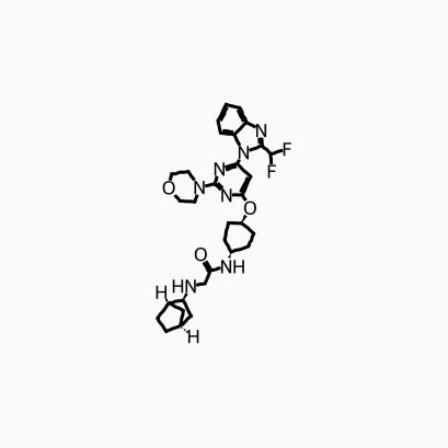 O=C(CN[C@H]1C[C@H]2CC[C@@H]1C2)N[C@H]1CC[C@H](Oc2cc(-n3c(C(F)F)nc4ccccc43)nc(N3CCOCC3)n2)CC1